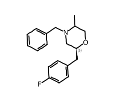 CC1CO[C@@H](Cc2ccc(F)cc2)CN1Cc1ccccc1